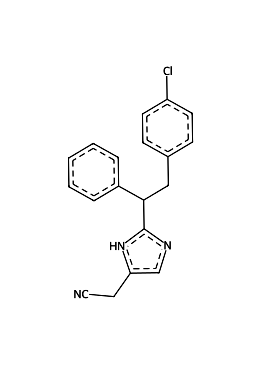 N#CCc1cnc(C(Cc2ccc(Cl)cc2)c2ccccc2)[nH]1